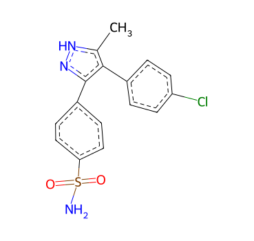 Cc1[nH]nc(-c2ccc(S(N)(=O)=O)cc2)c1-c1ccc(Cl)cc1